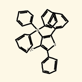 Cc1c(-c2ccccc2)sc(-c2ccccc2)c1[Si](c1ccccc1)(c1ccccc1)c1ccccc1